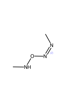 C/N=N\ONC